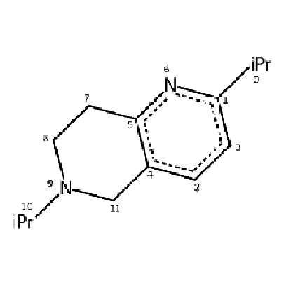 CC(C)c1ccc2c(n1)CCN(C(C)C)C2